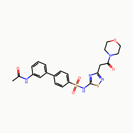 CC(=O)Nc1cccc(-c2ccc(S(=O)(=O)Nc3nc(CC(=O)N4CCOCC4)ns3)cc2)c1